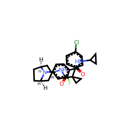 O=C(NC1CC1)c1ccc(N2[C@@H]3CC[C@H]2C[C@@H](NC(=O)C2(c4ccc(Cl)cc4)CC2)C3)cc1F